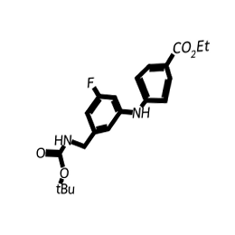 CCOC(=O)c1ccc(Nc2cc(F)cc(CNC(=O)OC(C)(C)C)c2)cc1